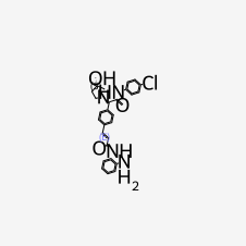 Nc1ccccc1NC(=O)/C=C/c1ccc(C(C(=O)Nc2ccc(Cl)cc2)N2CC[C@H](O)C2)cc1